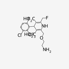 NCCOCC1=C(C(=O)O)C(c2c(F)ccc(Cl)c2C(F)(F)F)C(C(=O)O)=C(CF)N1